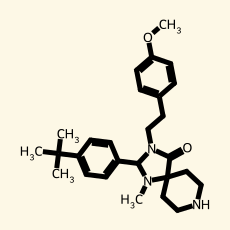 COc1ccc(CCN2C(=O)C3(CCNCC3)N(C)C2c2ccc(C(C)(C)C)cc2)cc1